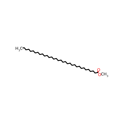 CCCCCCCCCCCCCCCCCCCCCCCCCCCCCCCCCC(=O)OC